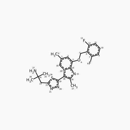 Cc1cc(OCc2c(F)cccc2F)c2nc(C)c(-c3nnc(CC(C)(C)N)s3)n2c1